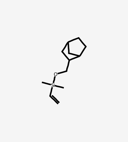 C=C[Si](C)(C)OCC1CC2CCC1C2